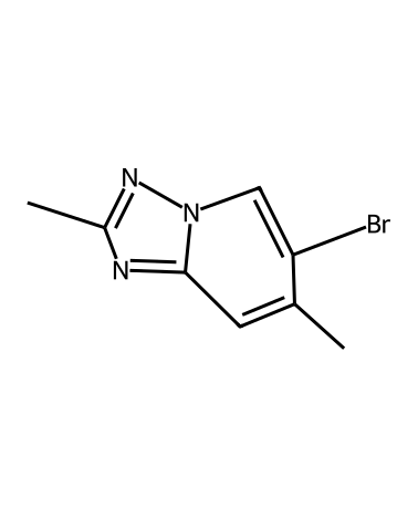 Cc1nc2cc(C)c(Br)cn2n1